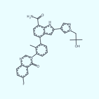 Cc1c(-c2ccc(C(N)=O)c3[nH]c(-c4cnn(CC(C)(C)O)c4)cc23)cccc1-n1cnc2ccc(F)cc2c1=O